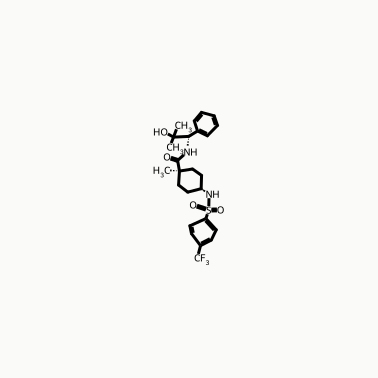 CC(C)(O)[C@@H](NC(=O)[C@]1(C)CC[C@@H](NS(=O)(=O)c2ccc(C(F)(F)F)cc2)CC1)c1ccccc1